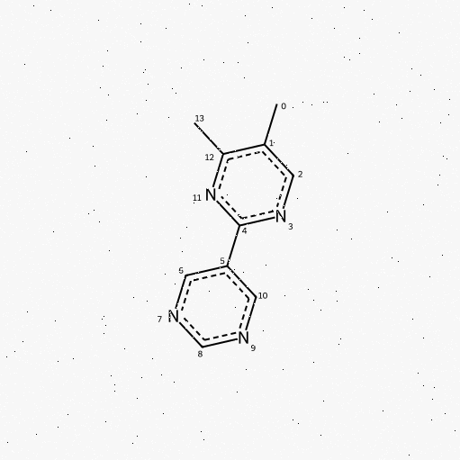 Cc1cnc(-c2cncnc2)nc1C